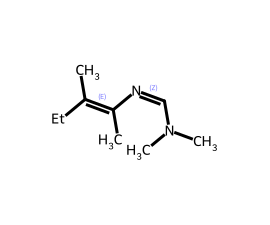 CC/C(C)=C(C)/N=C\N(C)C